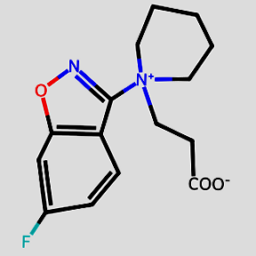 O=C([O-])CC[N+]1(c2noc3cc(F)ccc23)CCCCC1